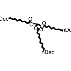 CCCCCCCCCCCCCCCCCCC(=O)OC[C@@H](COC(=O)CCCCCCCCCCCCCCCCC)OC(=O)CCCCCCCCCCCCCCCCCC